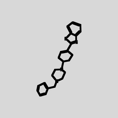 C1=C(c2nc3ccccc3s2)CCC(N2CCN(Cc3ccccc3)CC2)C1